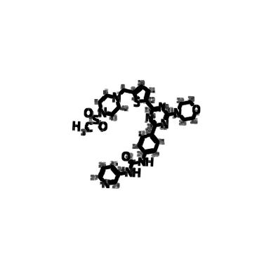 CS(=O)(=O)N1CCN(Cc2ccc(-c3nc(-c4ccc(NC(=O)Nc5cccnc5)cc4)nc(N4CCOCC4)n3)s2)CC1